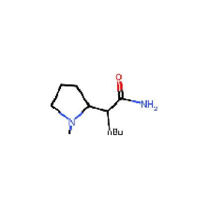 CCCCC(C(N)=O)C1CCCN1C